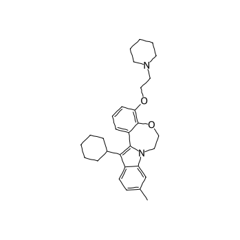 Cc1ccc2c(C3CCCCC3)c3n(c2c1)CCOc1c(OCCN2CCCCC2)cccc1-3